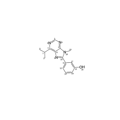 CC(C)c1ncnc2c1nc(-c1cccc(O)c1)n2C